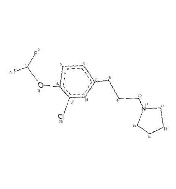 FC(F)Oc1ccc(CCCN2CCCC2)cc1Cl